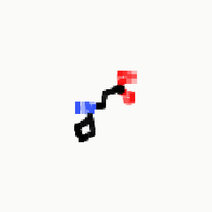 O=C(O)CCNC1CCC1